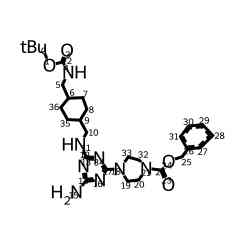 CC(C)(C)OC(=O)NCC1CCC(CNc2nc(N)nc(N3CCN(C(=O)OCc4ccccc4)CC3)n2)CC1